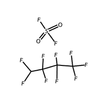 FC(F)C(F)(F)C(F)(F)C(F)(F)F.O=S(=O)(F)F